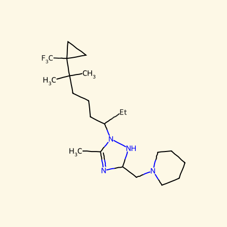 CCC(CCCC(C)(C)C1(C(F)(F)F)CC1)N1NC(CN2CCCCC2)N=C1C